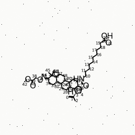 C=C(C)[C@@H]1CC[C@]2(C(=O)NCCCCCCCCCCC(=O)O)CC[C@]3(C)[C@H](CCC4[C@@]5(C)CCC(=NOCC(=O)OC)C(C)(C)[C@@H]5CC[C@]43C)[C@@H]12